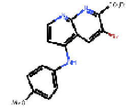 CCOC(=O)c1nc2nccc(Nc3ccc(OC)cc3)c2cc1Br